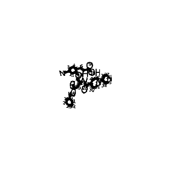 N#Cc1ccc(C=CC(=O)O)c(OCC(CC(=O)OCc2ccccc2)NC(=O)C2CCN(c3ccncc3)CC2)c1